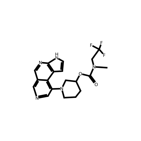 CN(CC(F)(F)F)C(=O)OC1CCCN(c2cncc3cnc4[nH]ccc4c23)C1